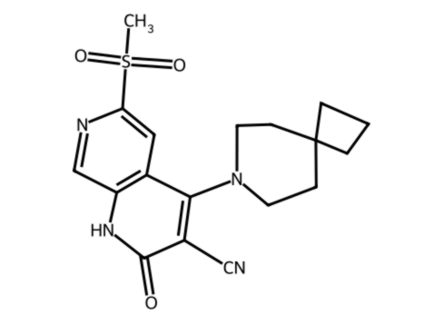 CS(=O)(=O)c1cc2c(N3CCC4(CCC4)CC3)c(C#N)c(=O)[nH]c2cn1